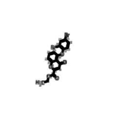 CCOC(=O)c1cc(=O)c2c(Oc3ccc(Br)cc3Br)cccc2o1